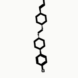 CCC=C[C@H]1CC[C@H](CC[C@H]2CC[C@H](c3ccc(Cl)cc3)CC2)CC1